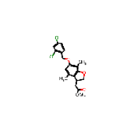 COC(=O)CC1COc2c(C)c(OCc3ccc(Cl)cc3Cl)cc(C)c21